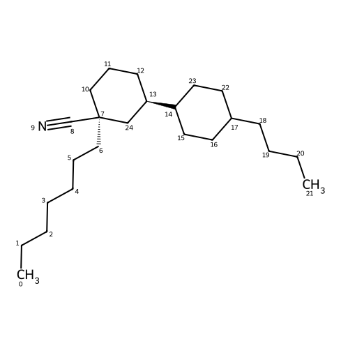 CCCCCCC[C@]1(C#N)CCC[C@@H](C2CCC(CCCC)CC2)C1